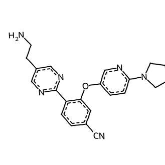 N#Cc1ccc(-c2ncc(CCN)cn2)c(Oc2ccc(N3CCCC3)nc2)c1